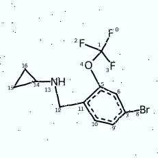 FC(F)(F)Oc1cc(Br)ccc1CNC1CC1